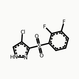 O=S(=O)(c1cccc(F)c1F)c1n[nH]cc1Cl